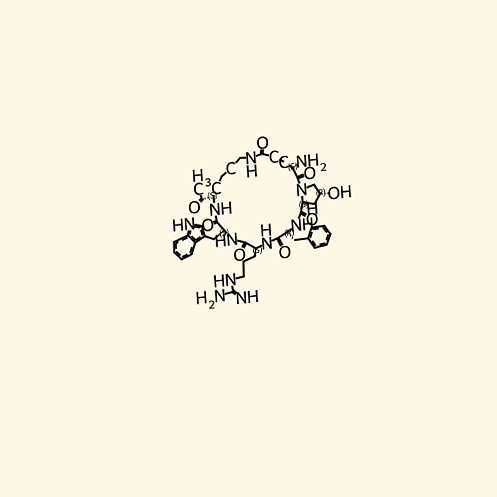 CC(=O)[C@@H]1CCCCNC(=O)CC[C@H](N)C(=O)N2C[C@H](O)C[C@H]2C(=O)N[C@H](Cc2ccccc2)C(=O)N[C@@H](CCCNC(=N)N)C(=O)N[C@@H](Cc2c[nH]c3ccccc23)C(=O)N1